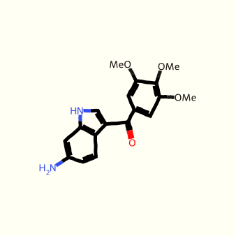 COc1cc(C(=O)c2c[nH]c3cc(N)ccc23)cc(OC)c1OC